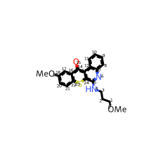 COCCCNc1nc2ccccc2c2c(=O)c3cc(OC)ccc3sc12